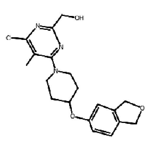 Cc1c(Cl)nc(CO)nc1N1CCC(Oc2ccc3c(c2)COC3)CC1